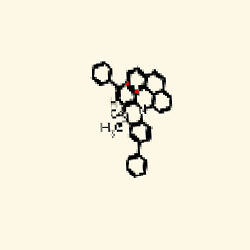 C[Si]1(C)c2cc(-c3ccccc3)ccc2N(c2cccc3ccc4cccnc4c23)c2ccc(-c3ccccc3)cc21